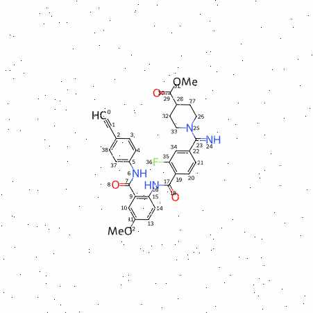 C#Cc1ccc(NC(=O)c2cc(OC)ccc2NC(=O)c2ccc(C(=N)N3CCC(C(=O)OC)CC3)cc2F)cc1